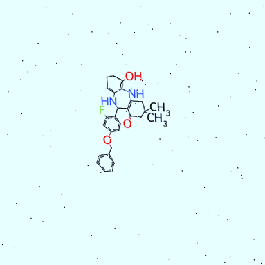 CC1(C)CC(=O)C2=C(C1)NC1=C(O)CCC=C1NC2c1ccc(OCc2ccccc2)cc1F